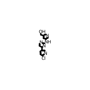 OCc1cncc(Nc2nccc(-c3ccc(Cl)nc3)n2)c1